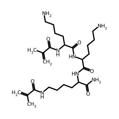 C=C(C)C(=O)NCCCCC(NC(=O)C(CCCCN)NC(=O)C(CCCCN)NC(=O)C(=C)C)C(N)=O